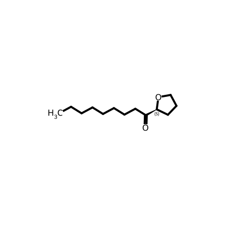 CCCCCCCCC(=O)[C@@H]1CCCO1